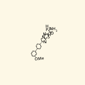 COc1cccc(-c2ccc(-c3cn4nc([SH](N)(=O)P)sc4n3)cc2)c1